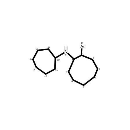 CC(=O)C1CCCCCCC1NC1CCCCCC1